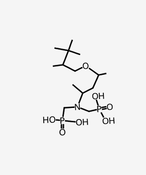 CC(CC(C)N(CP(=O)(O)O)CP(=O)(O)O)OCC(C)C(C)(C)C